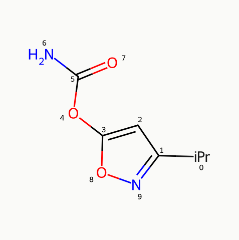 CC(C)c1cc(OC(N)=O)on1